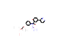 CC(C)(O)COc1ccc2c(c1)C1(COC(N)=N1)c1cc(-c3cccnc3)ccc1O2